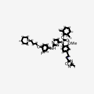 COc1cc(/C=C/c2nc(C)no2)ccc1N(C(=O)Oc1c(C)cccc1C)c1ccnc(Nc2ccc(OCCCN3CCCCC3)c(F)c2)n1